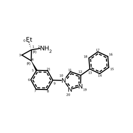 CC[C@@]1(N)C[C@@H]1c1cccc(-n2cc(-c3ccccc3)nn2)c1